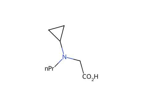 CCCN(CC(=O)O)C1CC1